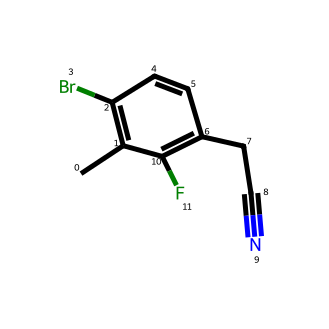 Cc1c(Br)ccc(CC#N)c1F